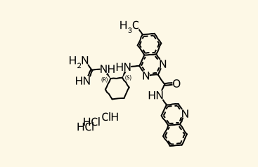 Cc1ccc2nc(C(=O)Nc3cnc4ccccc4c3)nc(N[C@H]3CCCC[C@H]3NC(=N)N)c2c1.Cl.Cl.Cl